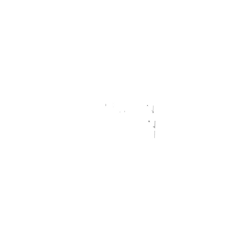 C(=COc1ccccc1)CC1=NCCN1